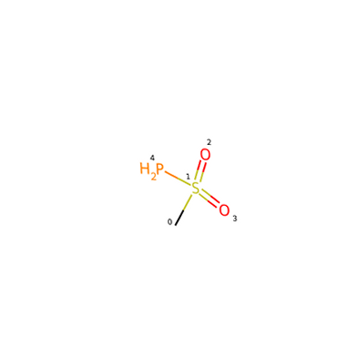 CS(=O)(=O)P